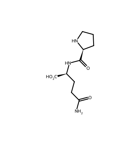 NC(=O)CC[C@H](NC(=O)[C@@H]1CCCN1)C(=O)O